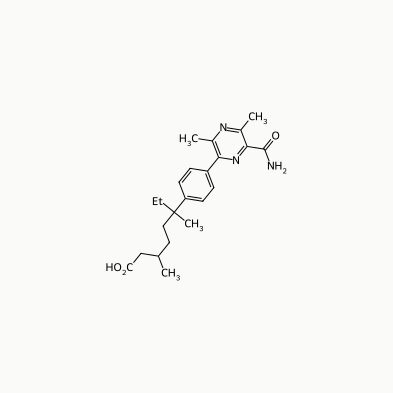 CCC(C)(CCC(C)CC(=O)O)c1ccc(-c2nc(C(N)=O)c(C)nc2C)cc1